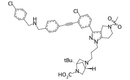 CC(C)(C)[C@]12C[C@@H](CN1C(=O)O)N(CCCn1nc(-c3ccc(Cl)c(C#Cc4ccc(CNCc5ccc(Cl)cc5)cc4)c3)c3c1CCN(S(C)(=O)=O)C3)C2